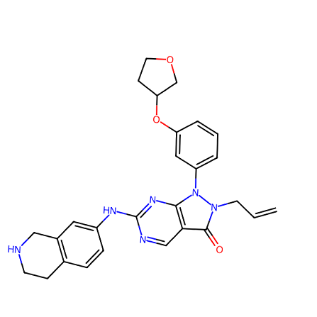 C=CCn1c(=O)c2cnc(Nc3ccc4c(c3)CNCC4)nc2n1-c1cccc(OC2CCOC2)c1